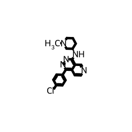 CN1CCC[C@@H](Nc2nnc(-c3ccc(Cl)cc3)c3ccncc23)C1